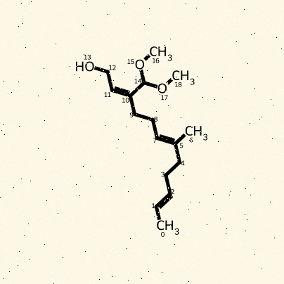 CC=CCCC(C)=CCCC(=CCO)C(OC)OC